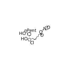 CCCCCC(O)c1cccc([C@@H]2[C@@H](C/C=C\CCCC(=O)OCCN3CCOCC3)[C@H](Cl)C[C@H]2O)c1